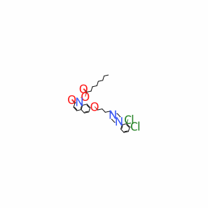 CCCCCCCC(=O)OCn1c(=O)ccc2ccc(OCCCCN3CCN(c4cccc(Cl)c4Cl)CC3)cc21